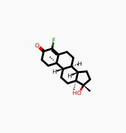 C[C@]12CCC(=O)C(F)=C1CC[C@@H]1[C@@H]2CC[C@@]2(C)[C@H]1CC[C@]2(C)O